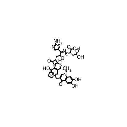 CCn1cc(C[N+]2(CC3=C(C(=O)O)N4C(=O)[C@@H](CC(=O)/C(=N\O[C@H](CC(=O)O)C(=O)O)c5cnc(N)s5)[C@H]4SC3)CCCC2)c(=O)c2cc(O)c(O)cc21